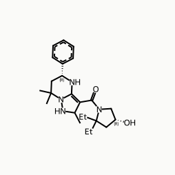 CCC1(CC)C[C@@H](O)CN1C(=O)C1=C2N[C@@H](c3ccccc3)CC(C)(C)N2NC1C